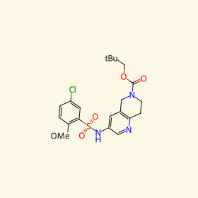 COc1ccc(Cl)cc1S(=O)(=O)Nc1cnc2c(c1)CN(C(=O)OCC(C)(C)C)CC2